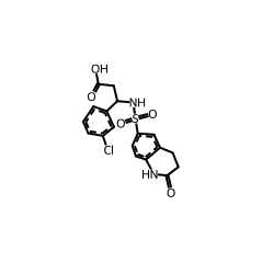 O=C(O)CC(NS(=O)(=O)c1ccc2c(c1)CCC(=O)N2)c1cccc(Cl)c1